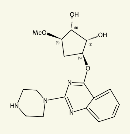 CO[C@@H]1C[C@H](Oc2nc(N3CCNCC3)nc3ccccc23)[C@@H](O)[C@H]1O